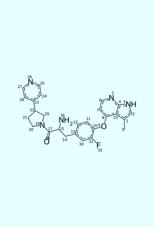 Cc1c[nH]c2nccc(Oc3ccc(CC(N)C(=O)N4CCC(c5ccncc5)C4)cc3F)c12